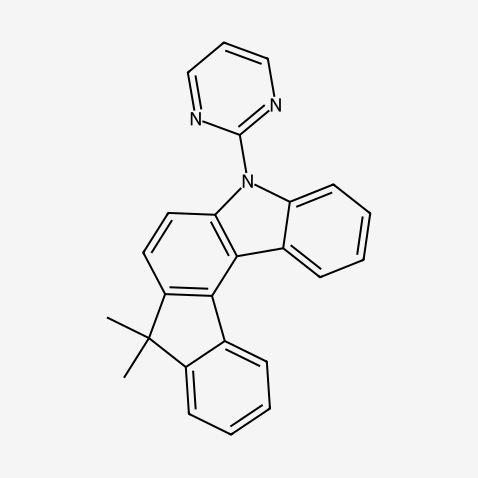 CC1(C)c2ccccc2-c2c1ccc1c2c2ccccc2n1-c1ncccn1